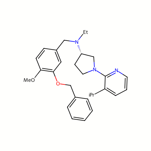 CCN(Cc1ccc(OC)c(OCc2ccccc2)c1)[C@H]1CCN(c2ncccc2C(C)C)C1